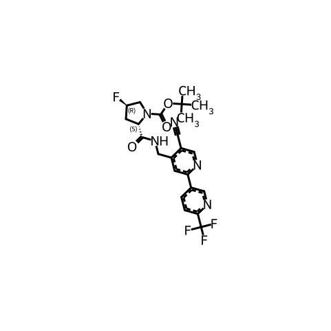 CC(C)(C)OC(=O)N1C[C@H](F)C[C@H]1C(=O)NCc1cc(-c2ccc(C(F)(F)F)nc2)ncc1C#N